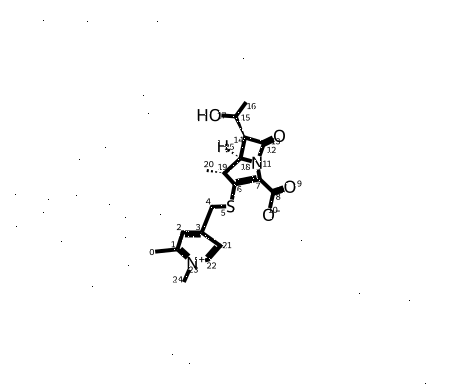 Cc1cc(CSC2=C(C(=O)[O-])N3C(=O)[C@H](C(C)O)[C@@H]3[C@H]2C)cc[n+]1C